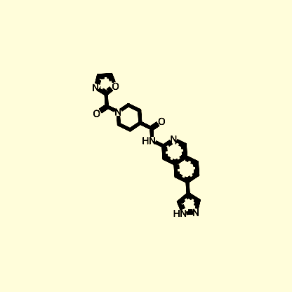 O=C(Nc1cc2cc(-c3cn[nH]c3)ccc2cn1)C1CCN(C(=O)c2ncco2)CC1